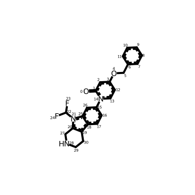 O=c1cc(OCc2ccccc2)ccn1-c1ccc2c3c(n(C(F)F)c2c1)CNCC3